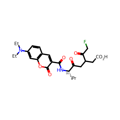 CCN(CC)c1ccc2cc(C(=O)N[C@H](C(=O)CC(CC(=O)O)C(=O)CF)C(C)C)c(=O)oc2c1